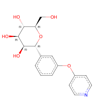 OC[C@H]1O[C@H](c2cccc(Oc3ccncc3)c2)[C@@H](O)[C@@H](O)[C@@H]1O